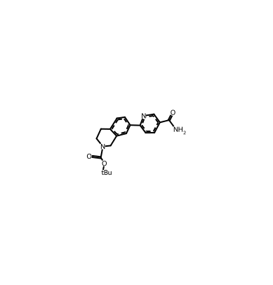 CC(C)(C)OC(=O)N1CCc2ccc(-c3ccc(C(N)=O)cn3)cc2C1